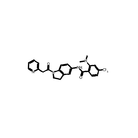 CN(C)c1cc(C(F)(F)F)ccc1C(=O)Nc1ccc2c(c1)CCN2C(=O)Cc1ccccn1